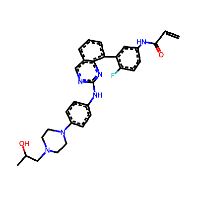 C=CC(=O)Nc1ccc(F)c(-c2cccc3cnc(Nc4ccc(N5CCN(CC(C)O)CC5)cc4)nc23)c1